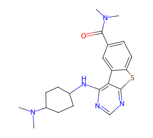 CN(C)C(=O)c1ccc2sc3ncnc(NC4CCC(N(C)C)CC4)c3c2c1